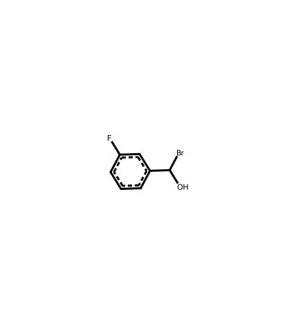 OC(Br)c1cccc(F)c1